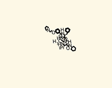 CC(C)[C@H](NC(=O)[C@H](C)NC(=O)[C@H](Cc1ccccc1)NC(=O)c1cccc(OCCN2CCCC2)c1)C(=O)C(=O)NC1CCCCC1